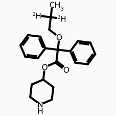 [2H]C([2H])(C)COC(C(=O)OC1CCNCC1)(c1ccccc1)c1ccccc1